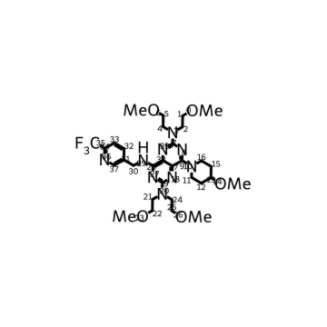 COCCN(CCOC)c1nc(N2CCC(OC)CC2)c2nc(N(CCOC)CCOC)nc(NCc3ccc(C(F)(F)F)nc3)c2n1